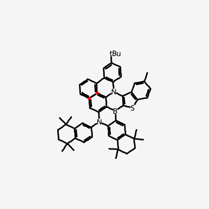 Cc1cc2c3c(c1)N(c1ccc(C(C)(C)C)cc1-c1ccccc1)c1c(sc4ccc(C)cc14)B3c1cc3c(cc1N2c1ccc2c(c1)C(C)(C)CCC2(C)C)C(C)(C)CCC3(C)C